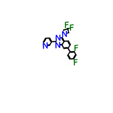 Fc1ccc(-c2ccc3c(N4CC(F)(F)C4)nc(-c4cccnc4)nc3c2)c(F)c1